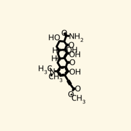 COC(=O)C#Cc1cc(N(C)C)c2c(c1O)C(=O)C1=C(O)[C@]3(O)C(=O)C(C(N)=O)C(O)C[C@@H]3C[C@@H]1C2